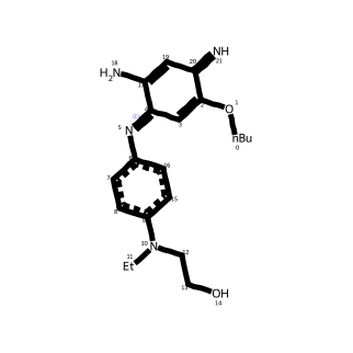 CCCCOC1=C/C(=N\c2ccc(N(CC)CCO)cc2)C(N)=CC1=N